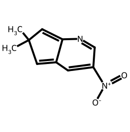 CC1(C)C=c2cc([N+](=O)[O-])cnc2=C1